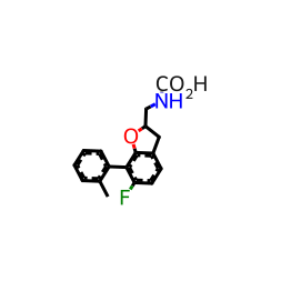 Cc1ccccc1-c1c(F)ccc2c1OC(CNC(=O)O)C2